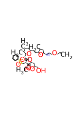 C=CCOC/C=C/C1CC(=C)C(CCC2CC(C)C(C)C(C[C@@H]3OC(CC(O)CO)[C@H](OC)C3CS(=O)(=O)c3ccccc3)O2)O1